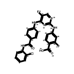 O=C(Nc1ccccc1Cl)c1ccc(Nc2nc(Nc3ccc(C(=O)O)c(F)c3)ncc2F)cc1